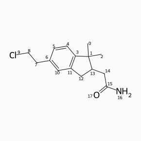 CC1(C)c2ccc(CCCl)cc2CC1CC(N)=O